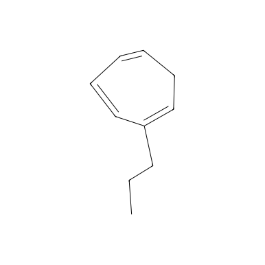 CCCC1=CCC=CC=C1